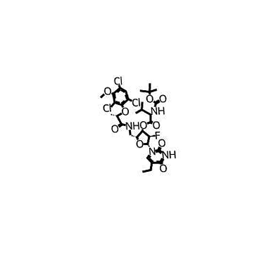 CCc1cn([C@@H]2O[C@H](CNC(=O)[C@H](C)Oc3c(Cl)cc(Cl)c(OC)c3Cl)[C@@H](OC(=O)[C@@H](NC(=O)OC(C)(C)C)C(C)C)[C@H]2F)c(=O)[nH]c1=O